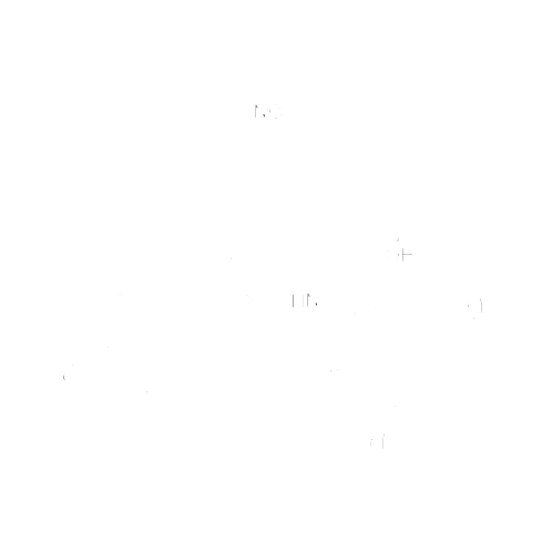 Cc1c(Cl)cc(NCc2cc([N+](=O)[O-])ccc2Sc2ccc(Cl)cc2)c(O)c1Cl